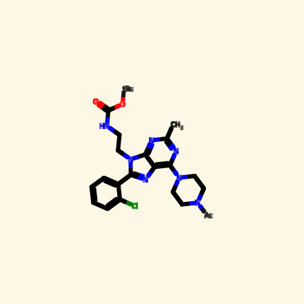 CC(=O)N1CCN(c2nc(C)nc3c2nc(-c2ccccc2Cl)n3CCNC(=O)OC(C)(C)C)CC1